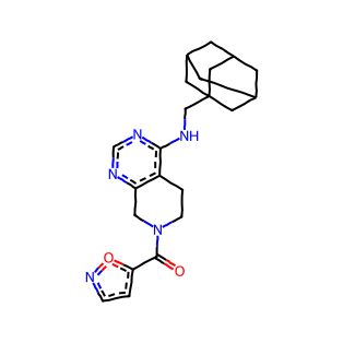 O=C(c1ccno1)N1CCc2c(ncnc2NCC23CC4CC(CC(C4)C2)C3)C1